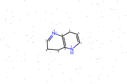 C1=CNC2=C(C1)[N+]=CCC2